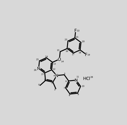 Cc1c(C)n(Cc2ccccn2)c2c(OCc3cc(F)cc(F)c3)ccnc12.Cl